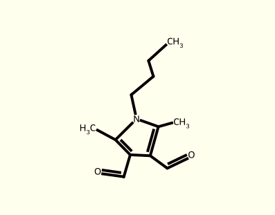 CCCCn1c(C)c(C=O)c(C=O)c1C